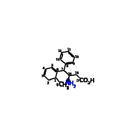 CC1CC=CC=C1C(c1ccccc1)[C@H](N)CC(=O)O